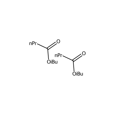 CCCC(=O)OCC(C)C.CCCC(=O)OCC(C)C